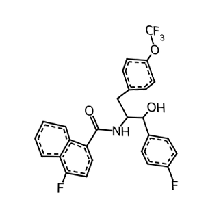 O=C(NC(Cc1ccc(OC(F)(F)F)cc1)C(O)c1ccc(F)cc1)c1ccc(F)c2ccccc12